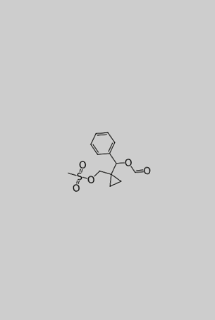 CS(=O)(=O)OCC1(C(OC=O)c2ccccc2)CC1